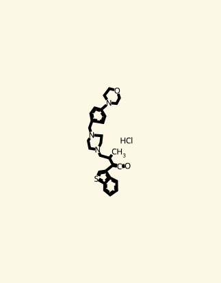 CC(CN1CCN(Cc2ccc(N3CCOCC3)cc2)CC1)C(=C=O)c1csc2ccccc12.Cl